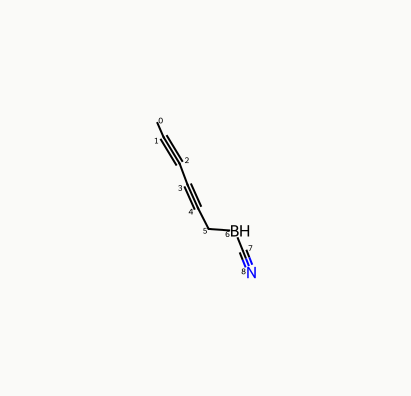 CC#CC#CCBC#N